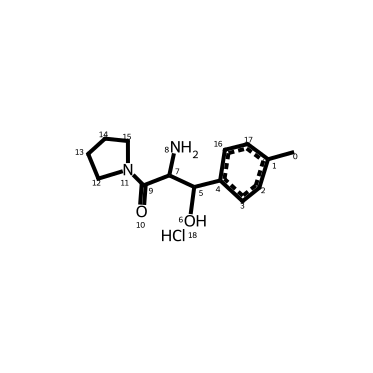 Cc1ccc(C(O)C(N)C(=O)N2CCCC2)cc1.Cl